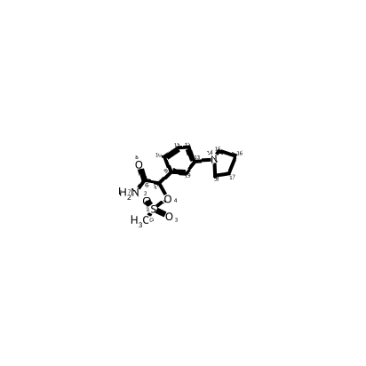 CS(=O)(=O)OC(C(N)=O)c1cccc(N2CCCC2)c1